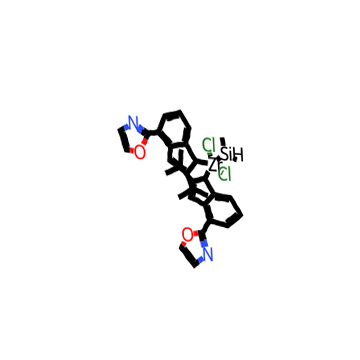 CC(C)C1=Cc2c(-c3ncco3)cccc2[CH]1[Zr]([Cl])([Cl])([CH]1C(C(C)C)=Cc2c(-c3ncco3)cccc21)[SiH](C)C